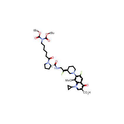 COc1c(N2CCCC(=C(F)CNC(=O)[C@@H]3CCCN3C(=O)CCCCCN(C(=O)OC(C)(C)C)C(=O)OC(C)(C)C)C2)c(F)cc2c(=O)c(C(=O)O)cn(C3CC3)c12